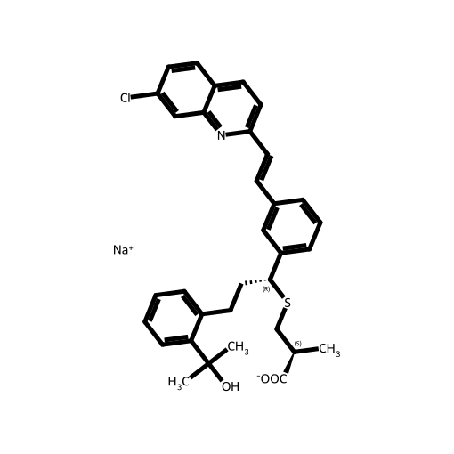 C[C@H](CS[C@H](CCc1ccccc1C(C)(C)O)c1cccc(C=Cc2ccc3ccc(Cl)cc3n2)c1)C(=O)[O-].[Na+]